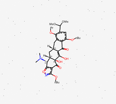 CCCCOc1cc(C(OC)OC)c(OC(C)C)c2c1C(=O)C1=C(O)[C@]3(O)C(=O)c4c(OCCCC)noc4[C@@H](N(C)C)[C@@H]3C[C@@H]1C2